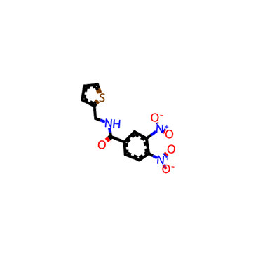 O=C(NCc1cccs1)c1ccc([N+](=O)[O-])c([N+](=O)[O-])c1